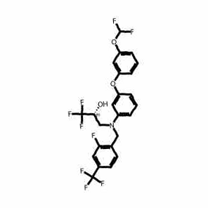 O[C@H](CN(Cc1ccc(C(F)(F)F)cc1F)c1cccc(Oc2cccc(OC(F)F)c2)c1)C(F)(F)F